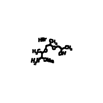 Br.COC(N)C(C)OCC(C)OCC(C)O